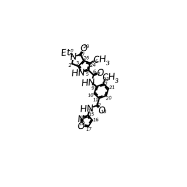 CCN1Cc2[nH]c(C(=O)Nc3cc(C(=O)Nc4ccon4)ccc3C)c(C)c2C1=O